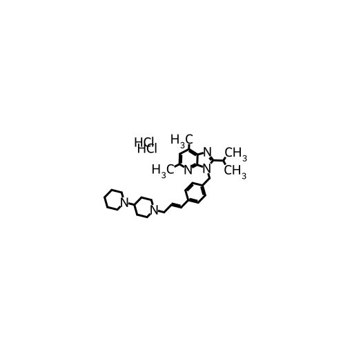 Cc1cc(C)c2nc(C(C)C)n(Cc3ccc(C=CCN4CCC(N5CCCCC5)CC4)cc3)c2n1.Cl.Cl